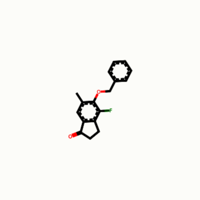 Cc1cc2c(c(F)c1OCc1ccccc1)CCC2=O